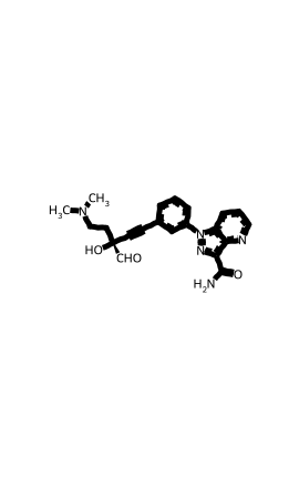 CN(C)CC[C@@](O)(C#Cc1cccc(-n2nc(C(N)=O)c3ncccc32)c1)C=O